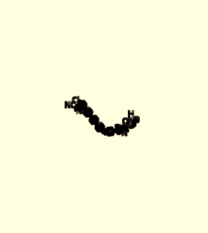 Cn1c(C2CCN(CC3CCN(c4ccc(C5CCN(c6ccc(Cl)c7c(C#N)c[nH]c67)CC5)cc4)CC3)CC2)cc2ncc(N3CCC(=O)NC3=O)cc21